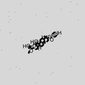 CCO[C@@H]([C@H]1C[C@@H](C)[C@H]2[C@H](O1)[C@H](O)[C@@]1(C)[C@@H]3CC[C@H]4C(C)(C)[C@@H](OC(=O)N5CCNCC5)CC[C@@]45C[C@@]35CC[C@]21C)C(C)(C)O